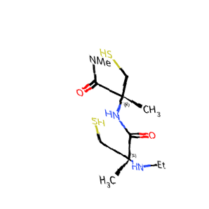 CCN[C@](C)(CS)C(=O)N[C@@](C)(CS)C(=O)NC